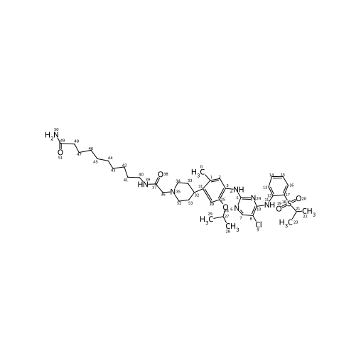 Cc1cc(Nc2ncc(Cl)c(Nc3ccccc3S(=O)(=O)C(C)C)n2)c(OC(C)C)cc1C1CCN(CC(=O)NCCCCCCCCCC(N)=O)CC1